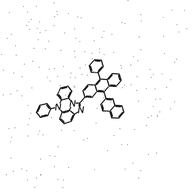 c1ccc(-c2c3ccccc3c(-c3ccc4ccccc4c3)c3cc(-c4nc5cccc6c5n4-c4ccccc4N6c4ccccc4)ccc23)cc1